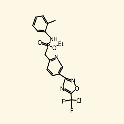 CCOP(=O)(Cc1ccc(-c2noc(C(F)(F)Cl)n2)cn1)Nc1ccccc1C